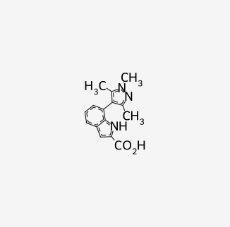 Cc1nn(C)c(C)c1-c1cccc2cc(C(=O)O)[nH]c12